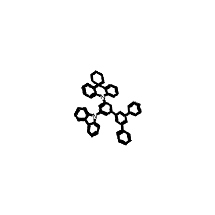 c1ccc(-c2cc(-c3ccccc3)cc(-c3cc(N4c5ccccc5C5(CCCCC5)c5ccccc54)cc(-n4c5ccccc5c5ccccc54)c3)c2)cc1